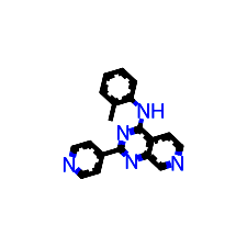 Cc1ccccc1Nc1nc(-c2ccncc2)nc2cnccc12